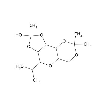 CC(C)C1OC2COC(C)(C)OC2C2OC(C)(O)OC12